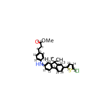 COC(=O)CCc1ccc(Nc2ccc3c(c2)C(C)(C)c2cc(-c4ccc(Cl)s4)ccc2-3)cc1